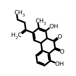 C=C(CCC)C1=CC2c3cccc(O)c3C(=O)C(=O)C2C(O)=C1C